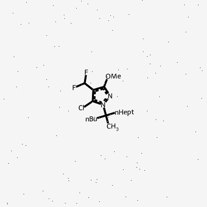 CCCCCCCC(C)(CCCC)n1nc(OC)c(C(F)F)c1Cl